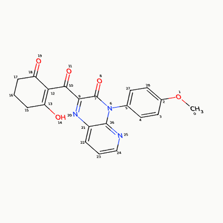 COc1ccc(-n2c(=O)c(C(=O)C3=C(O)CCCC3=O)nc3cccnc32)cc1